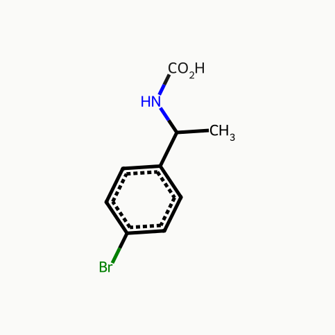 CC(NC(=O)O)c1ccc(Br)cc1